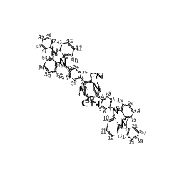 N#Cc1nc(-c2ccc(N3c4ccccc4N(c4ccccc4)c4ccccc43)cc2)c(C#N)nc1-c1ccc(N2c3ccccc3N(c3ccccc3)c3ccccc32)cc1